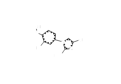 Cc1cn(-c2ccc(SS)c(O)c2)c(C)n1